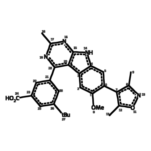 COc1cc2c(cc1-c1c(C)noc1C)[nH]c1nc(C)nc(-c3cc(C(=O)O)cc(C(C)(C)C)c3)c12